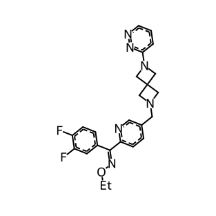 CCON=C(c1ccc(F)c(F)c1)c1ccc(CN2CC3(C2)CN(c2cccnn2)C3)cn1